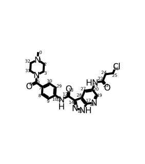 CN1CCN(C(=O)c2ccc(NC(=O)c3n[nH]c4ncc(NC(=O)CCCl)cc34)cc2)CC1